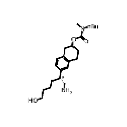 CCCCN(C)C(=O)OC1CCc2cc([C@H](CN)CCCCO)ccc2C1